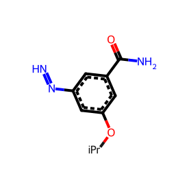 CC(C)Oc1cc(N=N)cc(C(N)=O)c1